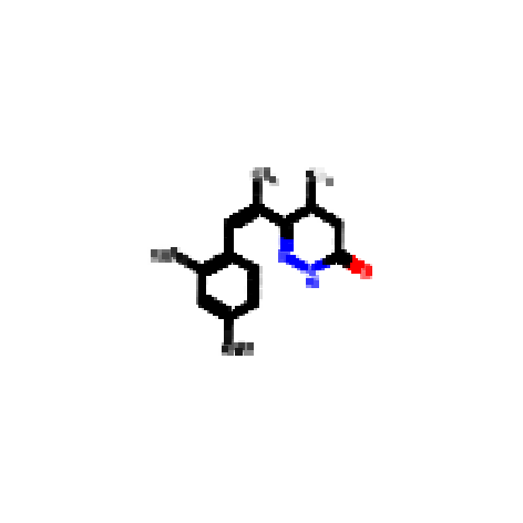 COc1ccc(C=C(C)C2=NNC(=O)CC2C)c(SC)c1